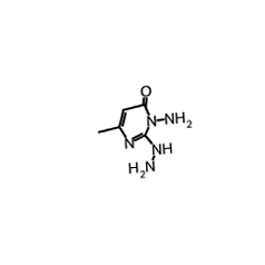 Cc1cc(=O)n(N)c(NN)n1